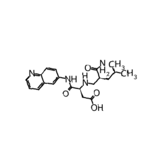 CC(C)C[C@@H](CN[C@@H](CC(=O)O)C(=O)Nc1ccc2ncccc2c1)C(N)=O